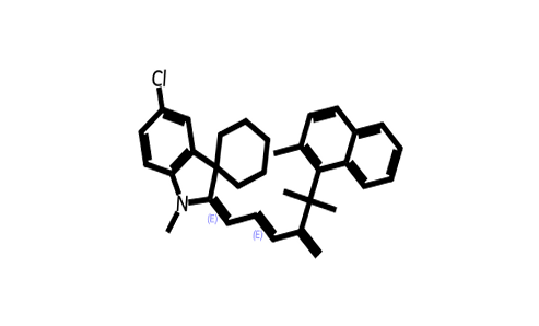 C=C(/C=C/C=C1/N(C)c2ccc(Cl)cc2C12CCCCC2)C(C)(C)c1c(C)ccc2ccccc12